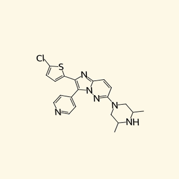 CC1CN(c2ccc3nc(-c4ccc(Cl)s4)c(-c4ccncc4)n3n2)CC(C)N1